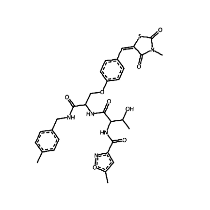 Cc1ccc(CNC(=O)C(COc2ccc(C=C3SC(=O)N(C)C3=O)cc2)NC(=O)C(NC(=O)c2cc(C)on2)C(C)O)cc1